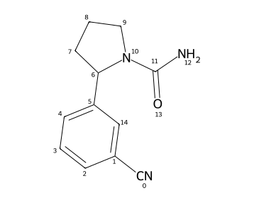 N#Cc1cccc(C2CCCN2C(N)=O)c1